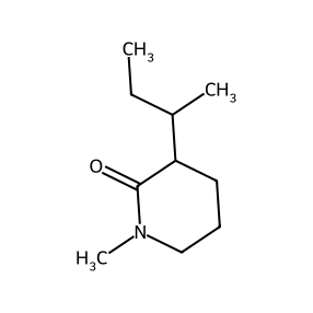 CCC(C)C1CCCN(C)C1=O